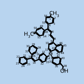 Cc1ccc(C(=C/C=C/c2ccc(N(c3ccc(C=C(c4ccccc4)c4ccccc4)cc3)c3ccc(CO)cc3)c3ccccc23)c2ccc(C)cc2)cc1